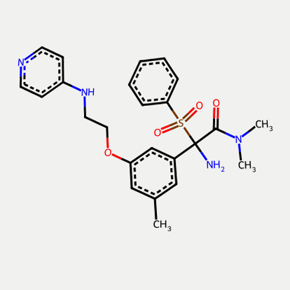 Cc1cc(OCCNc2ccncc2)cc(C(N)(C(=O)N(C)C)S(=O)(=O)c2ccccc2)c1